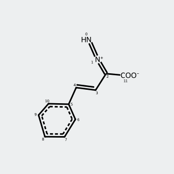 N=[N+]=C(C=Cc1ccccc1)C(=O)[O-]